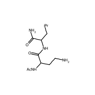 CC(=O)NC(CCN)C(=O)NC(CC(C)C)C(N)=O